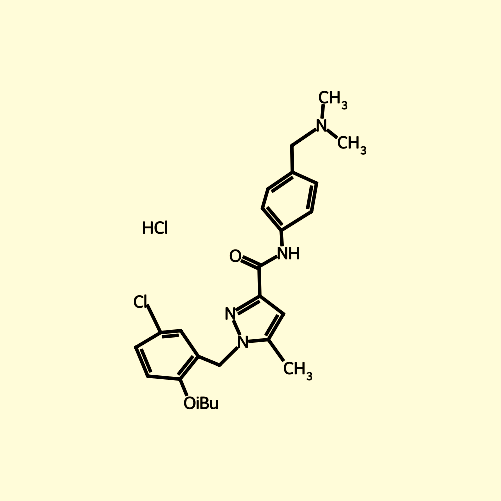 Cc1cc(C(=O)Nc2ccc(CN(C)C)cc2)nn1Cc1cc(Cl)ccc1OCC(C)C.Cl